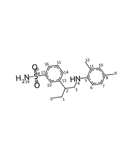 CCC(CNc1ccc(C)cc1C)c1cccc(S(N)(=O)=O)c1